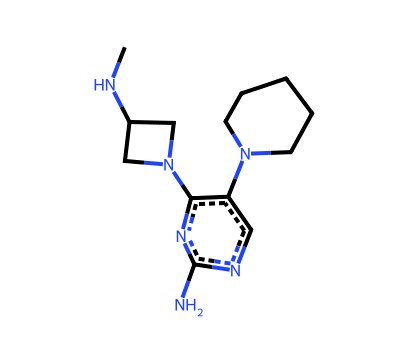 CNC1CN(c2nc(N)ncc2N2CCCCC2)C1